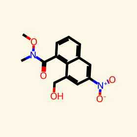 CON(C)C(=O)c1cccc2cc([N+](=O)[O-])cc(CO)c12